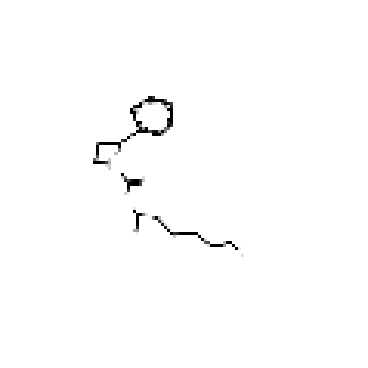 CCCCCCC(C)OC(=O)N1CCC1c1ccccc1